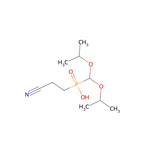 CC(C)OC(OC(C)C)P(=O)(O)CCC#N